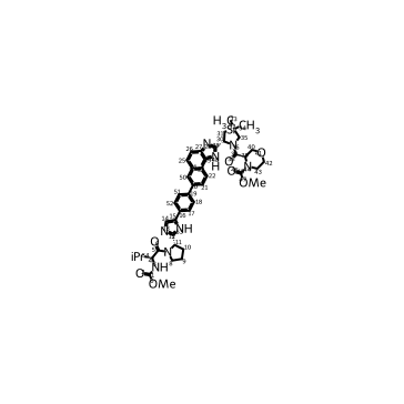 COC(=O)N[C@H](C(=O)N1CCC[C@H]1c1ncc(-c2ccc(-c3ccc4c(ccc5nc([C@@H]6C[Si](C)(C)CN6C(=O)[C@H]6COCCN6C(=O)OC)[nH]c54)c3)cc2)[nH]1)C(C)C